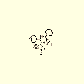 O=C(NC(C1CCOCC1)C(O)C1NNC(=S)O1)C1CCCCC1